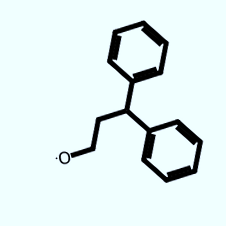 [O]CCC(c1ccccc1)c1ccccc1